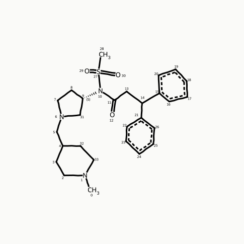 CN1CCC(CN2CC[C@H](N(C(=O)CC(c3ccccc3)c3ccccc3)S(C)(=O)=O)C2)CC1